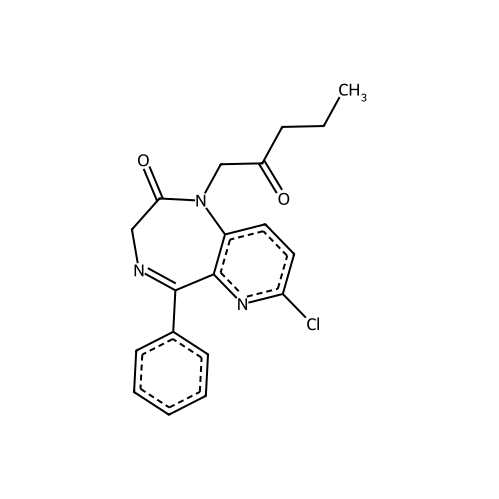 CCCC(=O)CN1C(=O)CN=C(c2ccccc2)c2nc(Cl)ccc21